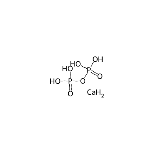 O=P(O)(O)OP(=O)(O)O.[CaH2]